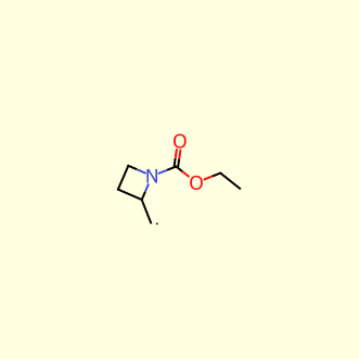 [CH2]C1CCN1C(=O)OCC